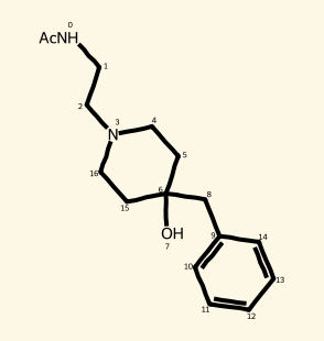 CC(=O)NCCN1CCC(O)(Cc2ccccc2)CC1